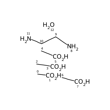 CC(=O)O.CC(=O)O.CC(=O)O.CC(=O)O.NCCN.O